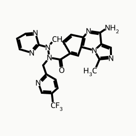 Cc1ncc2c(N)nc3ccc(C(=O)N(Cc4ccc(C(F)(F)F)cn4)N(C)c4ncccn4)cc3n12